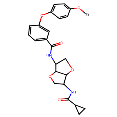 CCOc1ccc(Oc2cccc(C(=O)NC3COC4C(NC(=O)C5CC5)COC34)c2)cc1